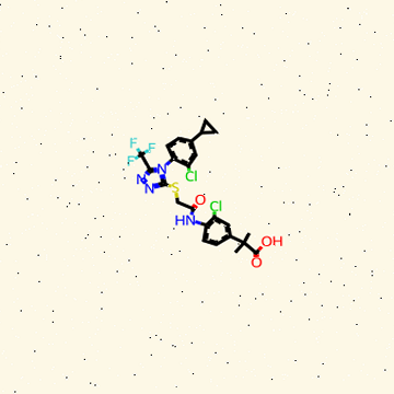 CC(C)(C(=O)O)c1ccc(NC(=O)CSc2nnc(C(F)(F)F)n2-c2ccc(C3CC3)cc2Cl)c(Cl)c1